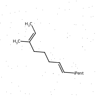 CC=C(C)CCCC=CC(C)CCC